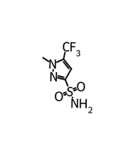 Cn1nc(S(N)(=O)=O)cc1C(F)(F)F